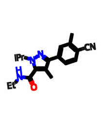 CCNC(=O)c1c(C)c(-c2ccc(C#N)c(C)c2)nn1C(C)C